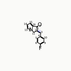 O=C1/C(=C/c2ccc(F)cc2)Cn2cccc21